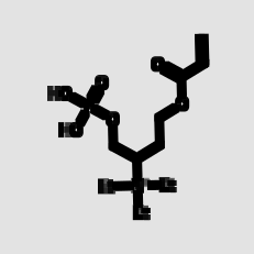 C=CC(=O)OCCC(COP(=O)(O)O)[N+](CC)(CC)CC